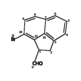 O=CC1Cc2cccc3ccc(Br)c1c23